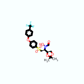 CC1(C)OC[C@H]([C@@H](CS(=O)(=O)c2ccc(Oc3ccc(C(F)(F)F)cc3)cc2)N(O)C=O)O1